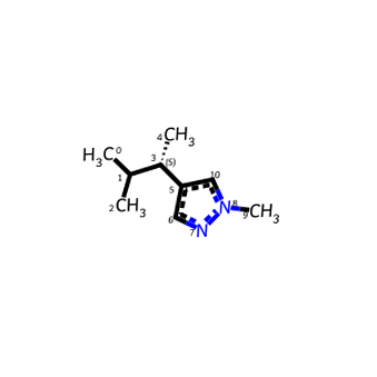 CC(C)[C@H](C)c1cnn(C)c1